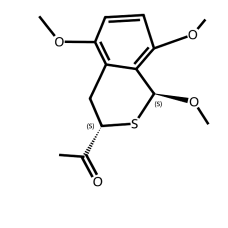 COc1ccc(OC)c2c1C[C@@H](C(C)=O)S[C@@H]2OC